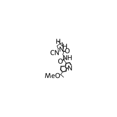 COC(C)c1ccc2c(C(=O)NCC(=O)N3[C@H](C#N)C[C@@H]4C[C@@H]43)ccnc2c1